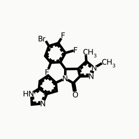 Cc1c2c(nn1C)C(=O)N(c1ccc3[nH]cnc3c1)C2c1c(F)cc(Br)c(F)c1F